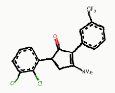 CNC1=C(c2cccc(C(F)(F)F)c2)C(=O)C(c2cccc(Cl)c2Cl)C1